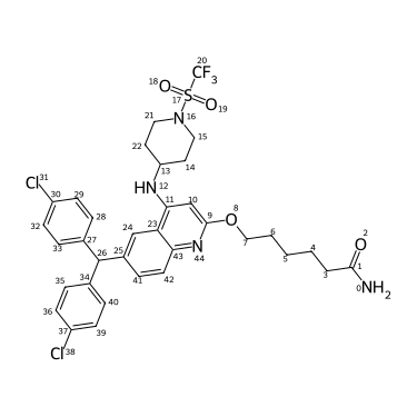 NC(=O)CCCCCOc1cc(NC2CCN(S(=O)(=O)C(F)(F)F)CC2)c2cc(C(c3ccc(Cl)cc3)c3ccc(Cl)cc3)ccc2n1